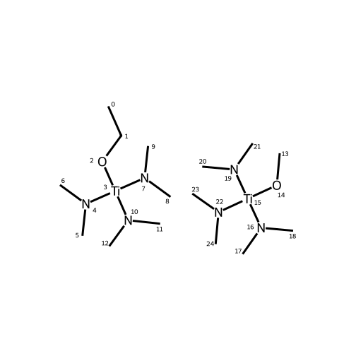 CC[O][Ti]([N](C)C)([N](C)C)[N](C)C.C[O][Ti]([N](C)C)([N](C)C)[N](C)C